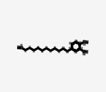 OCCCCCCCCCCCc1ccc(O)c(O)c1